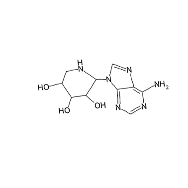 Nc1ncnc2c1ncn2C1NCC(O)C(O)C1O